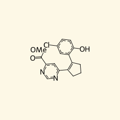 COC(=O)c1cc(C2=C(c3cc(Cl)ccc3O)CCC2)ncn1